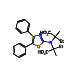 CCC(C)(C(=O)O)N(c1nc(-c2ccccc2)c(-c2ccccc2)o1)C(C)(CC)C(=O)O